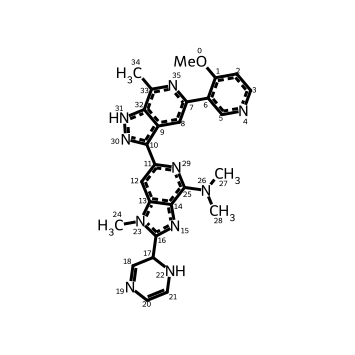 COc1ccncc1-c1cc2c(-c3cc4c(nc(C5C=NC=CN5)n4C)c(N(C)C)n3)n[nH]c2c(C)n1